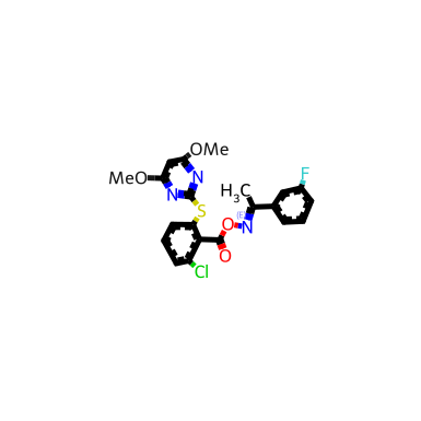 COc1cc(OC)nc(Sc2cccc(Cl)c2C(=O)O/N=C(\C)c2cccc(F)c2)n1